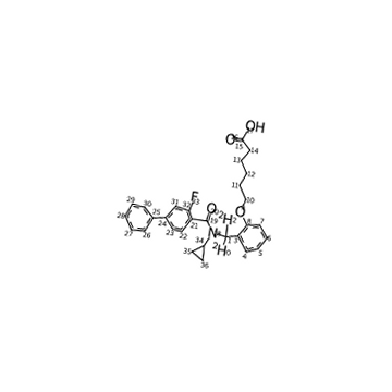 [2H]C([2H])(c1ccccc1OCCCCCC(=O)O)N(C(=O)c1ccc(-c2ccccc2)cc1F)C1CC1